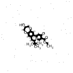 CCOC(=O)c1cn2c(cc1=O)-c1cc3c(cc1CC2C(C)(C)C)OCC(O)CO3